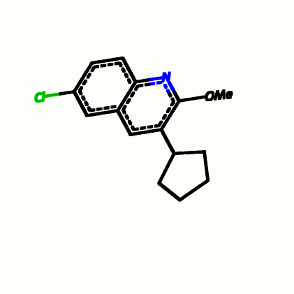 COc1nc2ccc(Cl)cc2cc1C1CCCC1